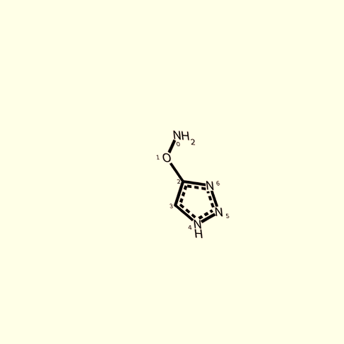 NOc1c[nH]nn1